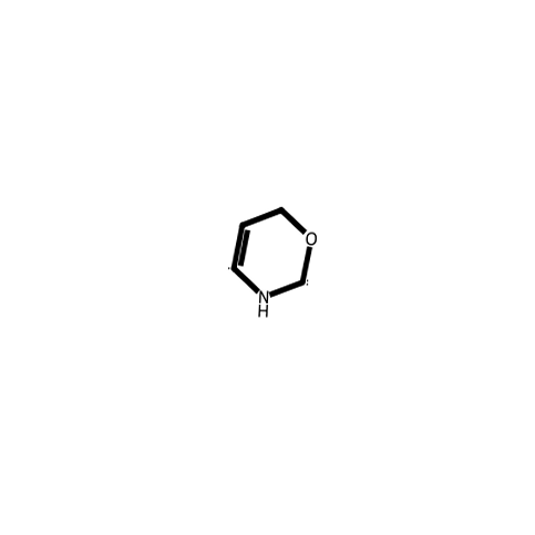 [C]1N[C]=CCO1